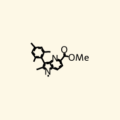 COC(=O)c1ccc2c(n1)c(-c1c(C)cc(C)cc1C)c(C)n2C